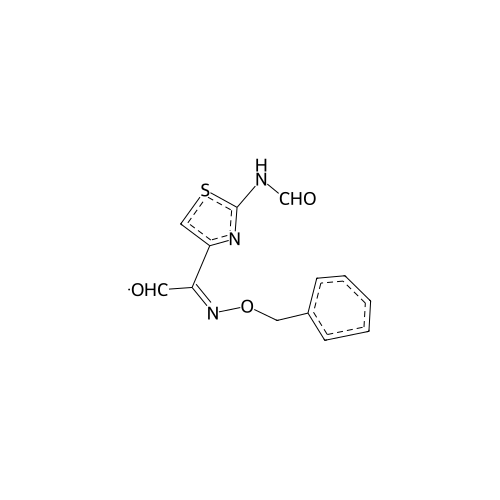 O=[C]C(=NOCc1ccccc1)c1csc(NC=O)n1